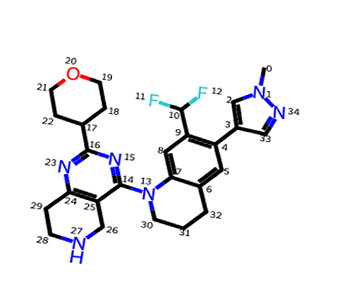 Cn1cc(-c2cc3c(cc2C(F)F)N(c2nc(C4CCOCC4)nc4c2CNCC4)CCC3)cn1